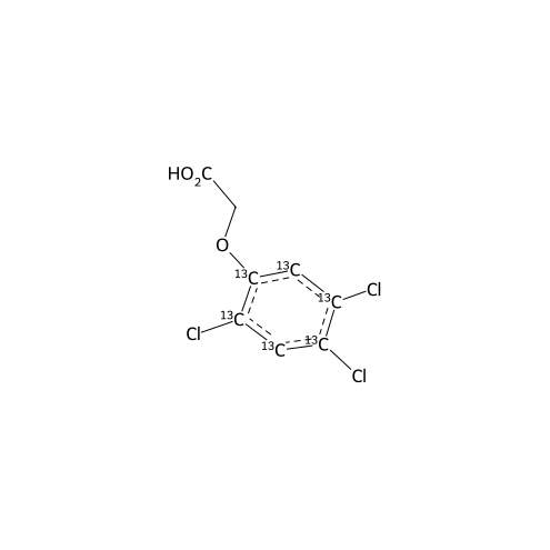 O=C(O)CO[13c]1[13cH][13c](Cl)[13c](Cl)[13cH][13c]1Cl